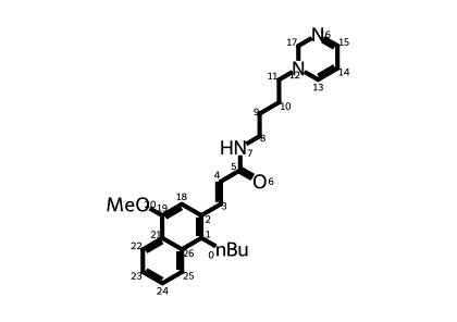 CCCCc1c(C=CC(=O)NCCCCN2C=CC=NC2)cc(OC)c2ccccc12